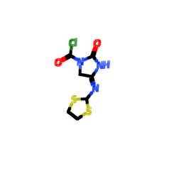 O=C(Cl)N1CC(=NC2SCCS2)NC1=O